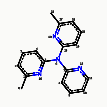 Cc1cccc(N(c2ccccn2)c2cccc(C)n2)n1